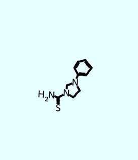 NC(=S)N1CCN(c2ccccc2)C1